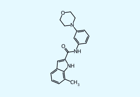 Cc1cccc2cc(C(=O)Nc3cccc(N4CCOCC4)c3)[nH]c12